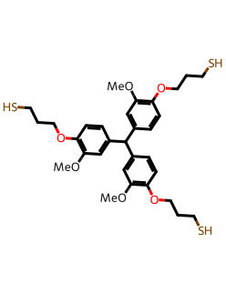 COc1cc(C(c2ccc(OCCCS)c(OC)c2)c2ccc(OCCCS)c(OC)c2)ccc1OCCCS